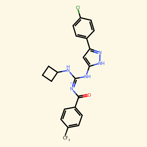 O=C(/N=C(\Nc1cc(-c2ccc(Cl)cc2)n[nH]1)NC1CCC1)c1ccc(C(F)(F)F)cc1